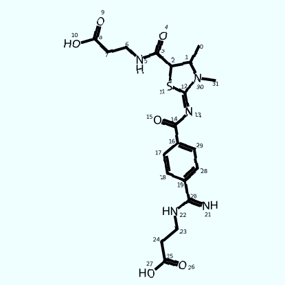 CC1C(C(=O)NCCC(=O)O)SC(=NC(=O)c2ccc(C(=N)NCCC(=O)O)cc2)N1C